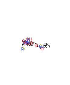 Cc1ncsc1-c1ccc(CNC(=O)[C@@H]2C[C@@H](O)CN2C(=O)[C@@H](NC(=O)COCC2CCC(COc3ccc(N4C(=S)N(c5ccc(C#N)c(C(F)(F)F)c5)C(=O)C4(C)C)cc3)CC2)C(C)(C)C)cc1